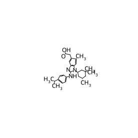 Cc1cc2c(cc1CC(=O)O)nc(Nc1ccc(C(C)C)cc1)n2[C@@H]1C[C@@H](C)CC(C)(C)C1